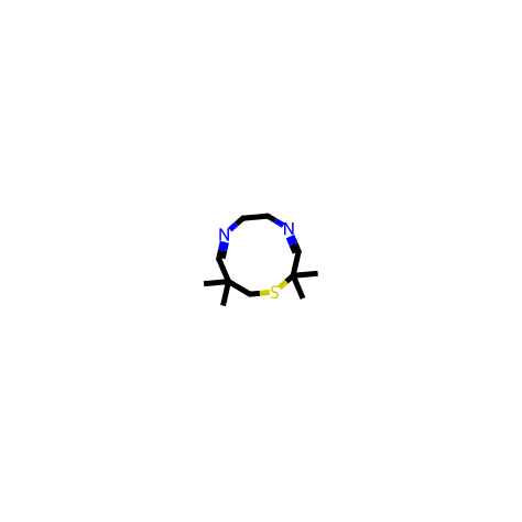 CC1(C)/C=N\CC/N=C\C(C)(C)SC1